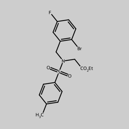 CCOC(=O)CN(Cc1cc(F)ccc1Br)S(=O)(=O)c1ccc(C)cc1